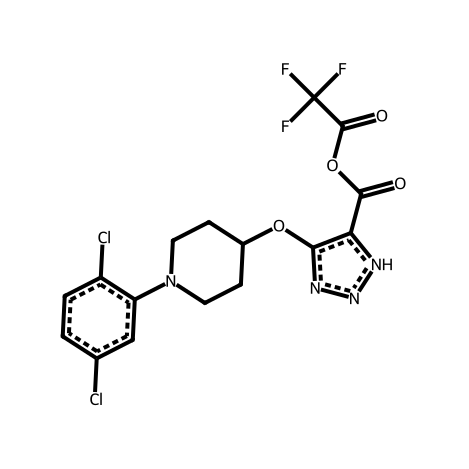 O=C(OC(=O)C(F)(F)F)c1[nH]nnc1OC1CCN(c2cc(Cl)ccc2Cl)CC1